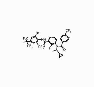 CC(C1CC1)N(C(=O)c1ccc(C(F)(F)F)cc1)c1cccc(C(=O)Nc2c(Br)cc(C(F)(C(F)(F)F)C(F)(F)F)cc2C(F)(F)F)c1F